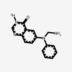 [2H]n1cnc2ccc(N(CN)c3ccccc3)cc2c1=O